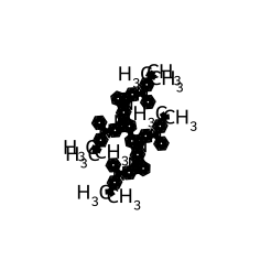 CC(C)c1ccc(N(c2ccccc2)c2ccc3c4cccc5c6cc7c(cc6n(c3c2)c45)c2ccc(-c3ccc4c5cc6c(cc5n5c8cc(N(c9ccccc9)c9ccc(C(C)(C)C)cc9)ccc8c3c45)c3cccc4c5ccc(N(c8ccccc8)c8ccc(C(C)(C)C)cc8)cc5n6c43)c3c4ccc(N(c5ccccc5)c5ccc(C(C)C)cc5)cc4n7c23)cc1